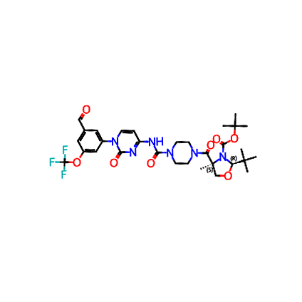 CC(C)(C)OC(=O)N1[C@@H](C(C)(C)C)OC[C@@]1(C)C(=O)N1CCN(C(=O)Nc2ccn(-c3cc(C=O)cc(OC(F)(F)F)c3)c(=O)n2)CC1